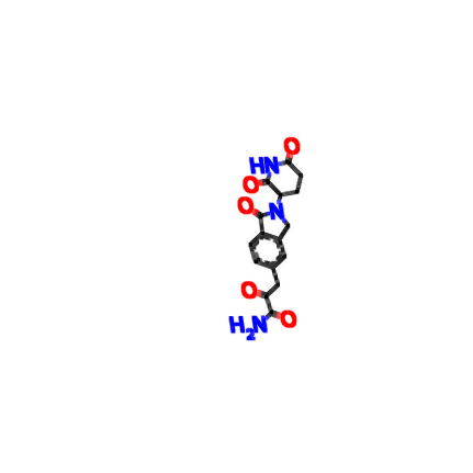 NC(=O)C(=O)Cc1ccc2c(c1)CN(C1CCC(=O)NC1=O)C2=O